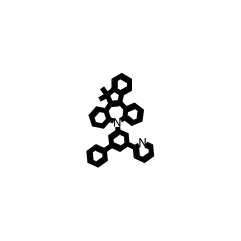 CC1(C)C2=C(c3ccccc3N(C3=CC(c4ccccc4)=CC(c4ccccn4)C3)C3CCC=CC23)c2ccccc21